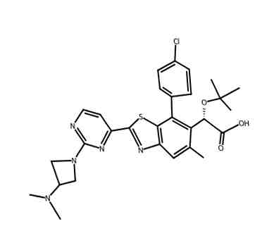 Cc1cc2nc(-c3ccnc(N4CC(N(C)C)C4)n3)sc2c(-c2ccc(Cl)cc2)c1[C@H](OC(C)(C)C)C(=O)O